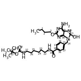 CCCCOc1nc(N)c2nc(O)n(Cc3ccc(C(=O)NCCCCCCNC(=O)OC(C)(C)C)cc3)c2n1